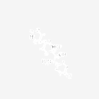 Cl.NC(c1ccc(Cl)cc1)C(O)c1ccc(-c2cccnc2)cc1